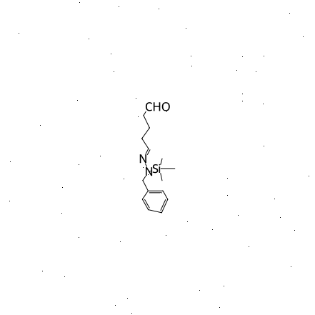 C[Si](C)(C)N(Cc1ccccc1)N=CCCCC=O